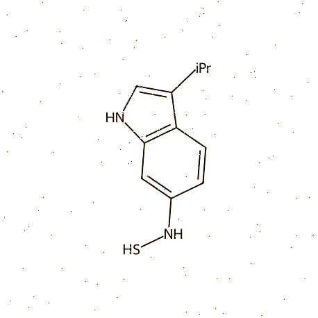 CC(C)c1c[nH]c2cc(NS)ccc12